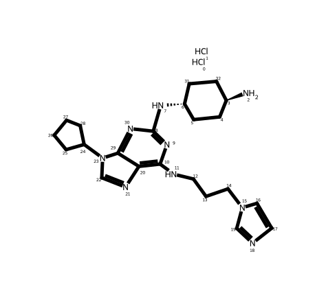 Cl.Cl.N[C@H]1CC[C@H](Nc2nc(NCCCn3ccnc3)c3ncn(C4CCCC4)c3n2)CC1